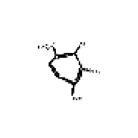 CC(=O)c1ccc(C(=O)O)c(C(C)=O)c1N